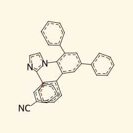 N#Cc1cccc(-c2nccn2-c2c(-c3ccccc3)cc(-c3ccccc3)cc2-c2ccccc2)c1